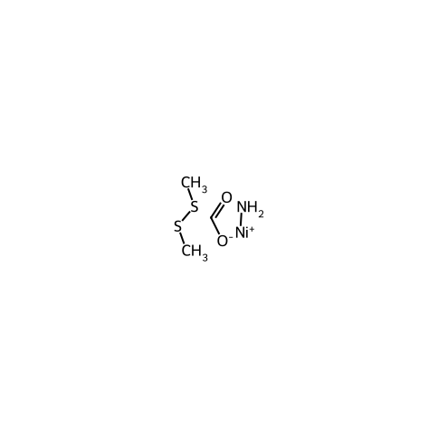 CSSC.O=C[O-].[NH2][Ni+]